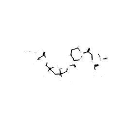 C=C(NCC(C)(C)CC(C)(C)COC(=O)[C@@H]1CCCN(C(=O)[C@H](CNCC)NC(=O)OC(C)(C)C)N1)[C@H](C)OC